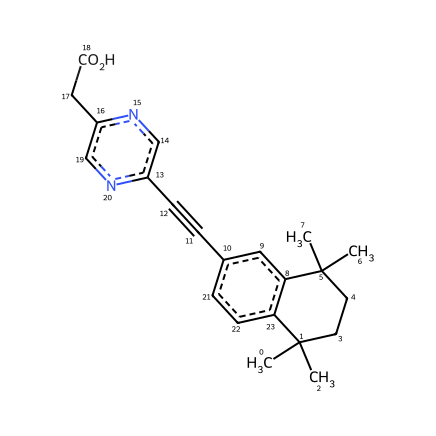 CC1(C)CCC(C)(C)c2cc(C#Cc3cnc(CC(=O)O)cn3)ccc21